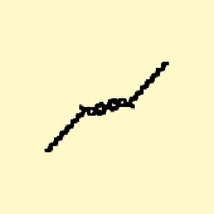 CCCCCCCCCCCCCCC(C)COc1ccc(-c2ccc(OCC(C)CCCCCCCCCCCCCC)cc2)cc1